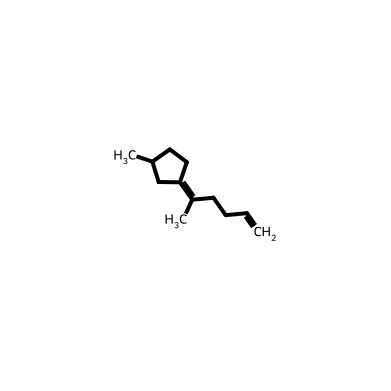 C=CCCC(C)=C1CCC(C)C1